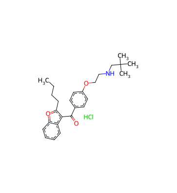 CCCCc1oc2ccccc2c1C(=O)c1ccc(OCCNCC(C)(C)C)cc1.Cl